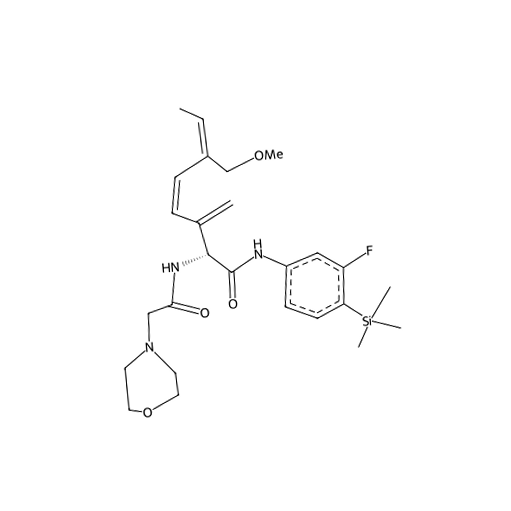 C=C(/C=C\C(=C/C)COC)[C@@H](NC(=O)CN1CCOCC1)C(=O)Nc1ccc([Si](C)(C)C)c(F)c1